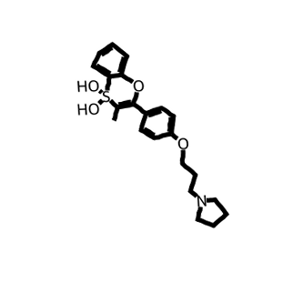 CC1=C(c2ccc(OCCCN3CCCC3)cc2)Oc2ccccc2S1(O)O